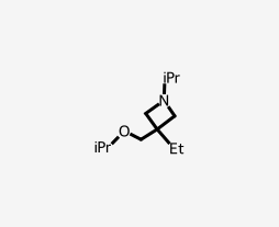 CCC1(COC(C)C)CN(C(C)C)C1